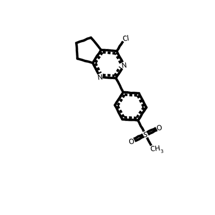 CS(=O)(=O)c1ccc(-c2nc(Cl)c3c(n2)CCC3)cc1